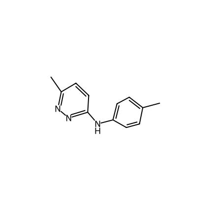 Cc1ccc(Nc2ccc(C)nn2)cc1